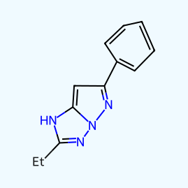 CCc1nn2nc(-c3ccccc3)cc2[nH]1